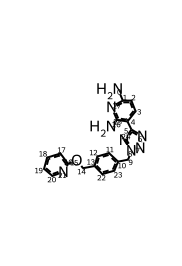 Nc1ccc(-c2nnn(Cc3ccc(COc4ccccn4)cc3)n2)c(N)n1